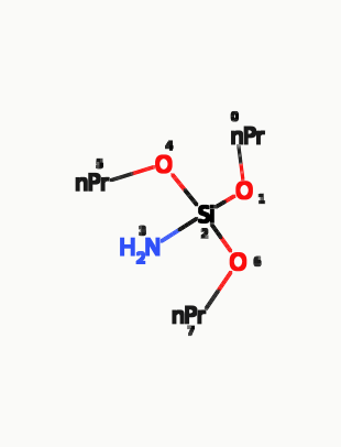 CCCO[Si](N)(OCCC)OCCC